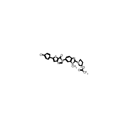 Cn1c(N2CC[C@H](OC(=O)C(F)(F)F)C2)nc2ccc(-n3cnc4cc(-c5ccc(Cl)cc5)sc4c3=O)cc21